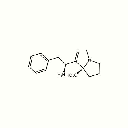 CN1CCC[C@]1(C(=O)O)C(=O)[C@@H](N)Cc1ccccc1